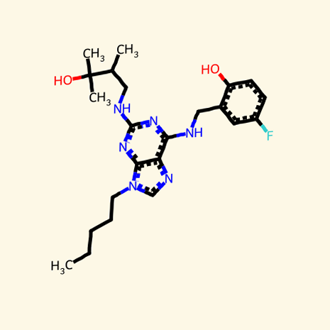 CCCCCn1cnc2c(NCc3cc(F)ccc3O)nc(NCC(C)C(C)(C)O)nc21